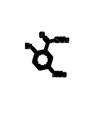 CNc1ccc(Br)c(C(=O)OC)c1